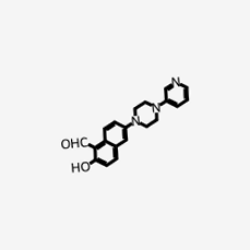 O=Cc1c(O)ccc2cc(N3CCN(c4cccnc4)CC3)ccc12